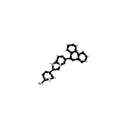 Brc1ccc(-c2cn3cc(-c4cc5ccccc5c5ccccc45)ccc3n2)cc1